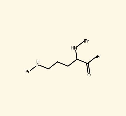 CC(C)NCCCC(NC(C)C)C(=O)C(C)C